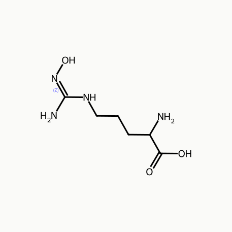 N/C(=N/O)NCCCC(N)C(=O)O